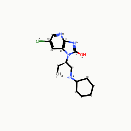 CC[C@H](CNC1CCCCC1)n1c(O)nc2ncc(Cl)cc21